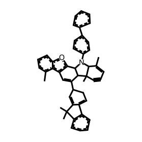 CC1=CC#CC2(C)C3C(C4C=C5C(=CC4)c4ccccc4C5(C)C)=Cc4c(oc5cccc(C)c45)C3N(c3ccc(-c4ccccc4)cc3)C12